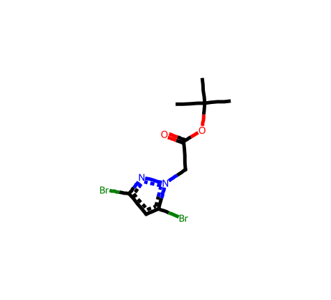 CC(C)(C)OC(=O)Cn1nc(Br)cc1Br